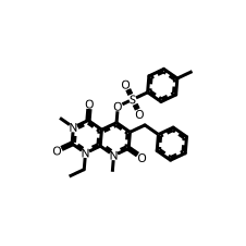 CCn1c(=O)n(C)c(=O)c2c(OS(=O)(=O)c3ccc(C)cc3)c(Cc3ccccc3)c(=O)n(C)c21